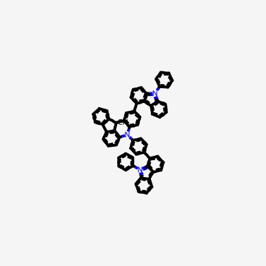 CC12c3ccccc3-c3cccc(c31)N(c1ccc(-c3cccc4c5ccccc5n(-c5ccccc5)c34)cc1)c1ccc(-c3cccc4c3c3ccccc3n4-c3ccccc3)cc12